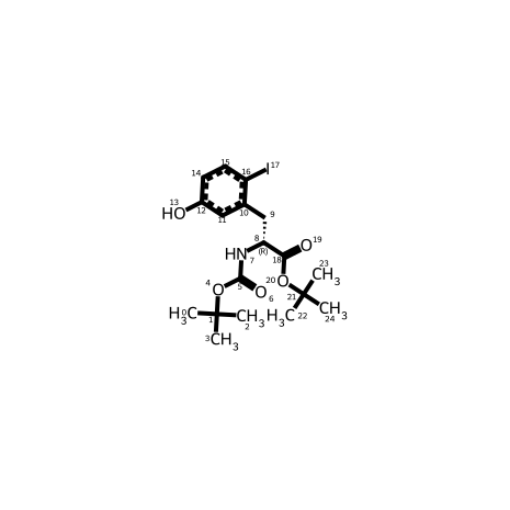 CC(C)(C)OC(=O)N[C@H](Cc1cc(O)ccc1I)C(=O)OC(C)(C)C